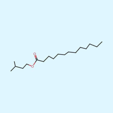 CCCCCCCCCCCCC(=O)OCCC(C)C